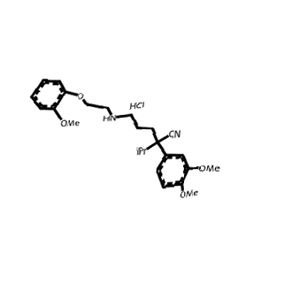 COc1ccc(C(C#N)(CCCNCCOc2ccccc2OC)C(C)C)cc1OC.Cl